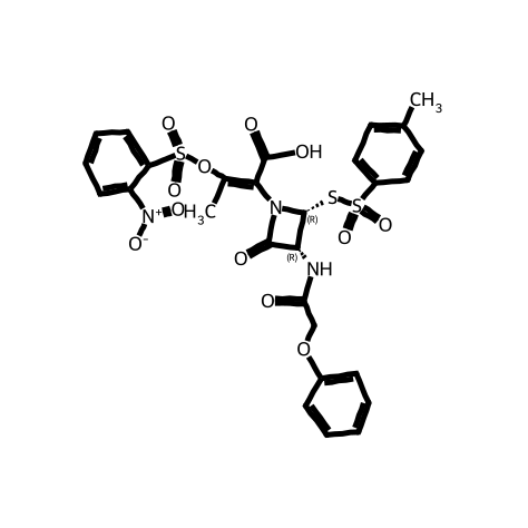 CC(OS(=O)(=O)c1ccccc1[N+](=O)[O-])=C(C(=O)O)N1C(=O)[C@@H](NC(=O)COc2ccccc2)[C@H]1SS(=O)(=O)c1ccc(C)cc1